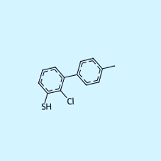 Cc1ccc(-c2cccc(S)c2Cl)cc1